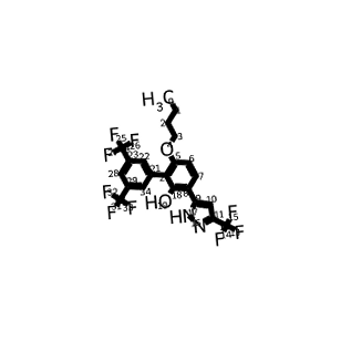 CCCCOc1ccc(-c2cc(C(F)(F)F)n[nH]2)c(O)c1-c1cc(C(F)(F)F)cc(C(F)(F)F)c1